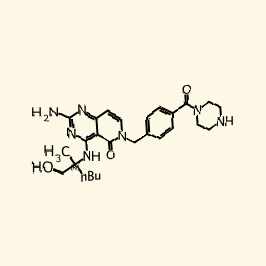 CCCC[C@](C)(CO)Nc1nc(N)nc2ccn(Cc3ccc(C(=O)N4CCNCC4)cc3)c(=O)c12